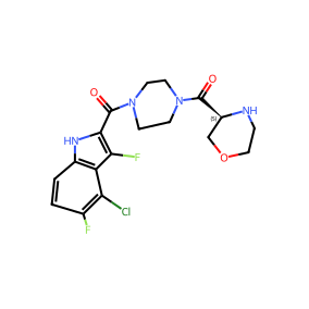 O=C(c1[nH]c2ccc(F)c(Cl)c2c1F)N1CCN(C(=O)[C@@H]2COCCN2)CC1